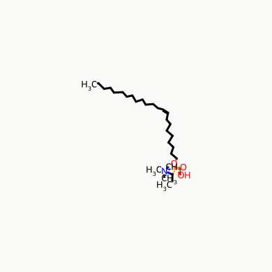 CCCCCCCCCCCCC/C=C\CCCCCCCCOP(=O)(O)C(CC)[N+](C)(C)C